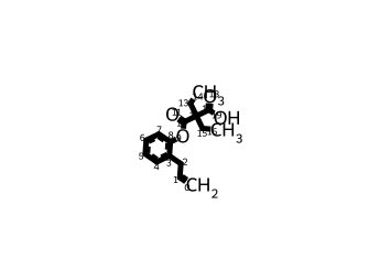 C=CCc1ccccc1OC(=O)C(CC)(CC)C(=O)O